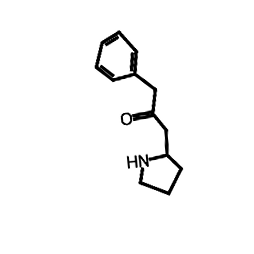 O=C(Cc1ccccc1)CC1CCCN1